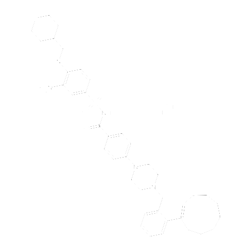 O=C(NS(=O)(=O)c1ccc(NCC2CCOCC2)c([N+](=O)[O-])c1)c1ccc(N2CCN(Cc3ccccc3C3=CCCCC[CH]CC3)CC2)cc1.[CH2].[CH2]